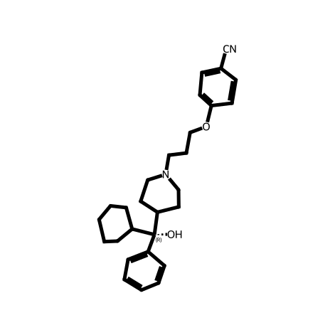 N#Cc1ccc(OCCCN2CCC([C@@](O)(c3ccccc3)C3CCCCC3)CC2)cc1